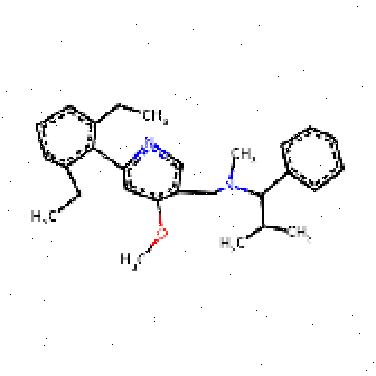 CCc1cccc(CC)c1-c1cc(OC)c(CN(C)C(c2ccccc2)C(C)C)cn1